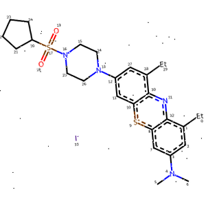 CCc1cc(N(C)C)cc2[s+]c3cc(N4CCN(S(=O)(=O)C5CCCC5)CC4)cc(CC)c3nc12.[I-]